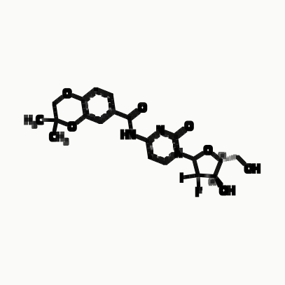 CC1(C)COc2ccc(C(=O)Nc3ccn(C4O[C@H](CO)[C@@H](O)C4(F)I)c(=O)n3)cc2O1